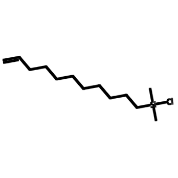 C=CCCCCCCCCC[Si](C)(C)Cl